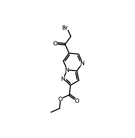 CCOC(=O)c1cc2ncc(C(=O)CBr)cn2n1